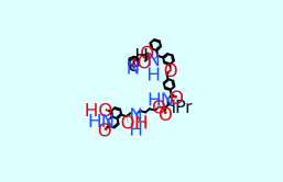 CC(C)[C@H](NC(=O)c1ccc(COc2cccc([C@@H](NC(=O)O[C@H]3CN4CCC3CC4)c3ccccc3)c2)cc1)C(=O)OCCCCNC[C@H](O)c1ccc(O)c2[nH]c(=O)ccc12